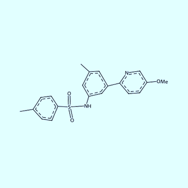 COc1ccc(-c2cc(C)cc(NS(=O)(=O)c3ccc(C)cc3)c2)nc1